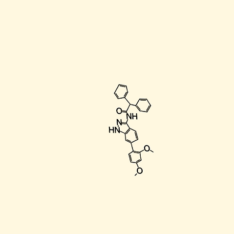 COc1ccc(-c2ccc3c(NC(=O)C(c4ccccc4)c4ccccc4)n[nH]c3c2)c(OC)c1